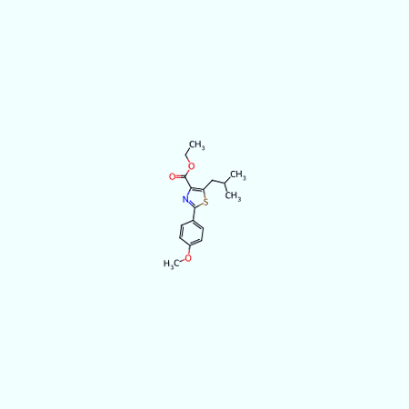 CCOC(=O)c1nc(-c2ccc(OC)cc2)sc1CC(C)C